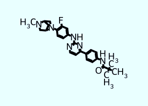 CN1CC2CC1CN2c1ccc(Nc2nccc(-c3ccc(NC(=O)C(C)(C)C)cc3)n2)cc1F